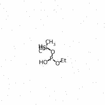 CCOP(O)O[SiH](C)C